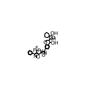 O=C(O)C1(NC2COc3cc(-c4noc(-c5onc(-c6ccccc6)c5C(F)(F)F)n4)ccc3C2O)CCCCC1